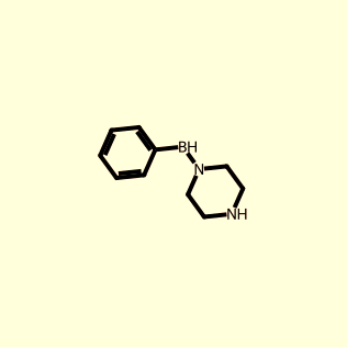 B(c1ccccc1)N1CCNCC1